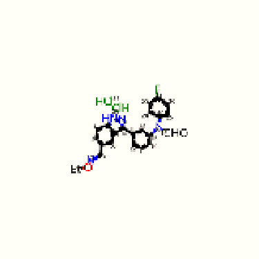 CCON=Cc1ccc2[nH]nc(-c3cccc(N(C=O)c4ccc(F)cc4)c3)c2c1.Cl.Cl